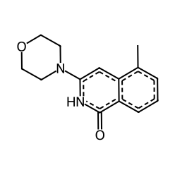 Cc1cccc2c(=O)[nH]c(N3CCOCC3)cc12